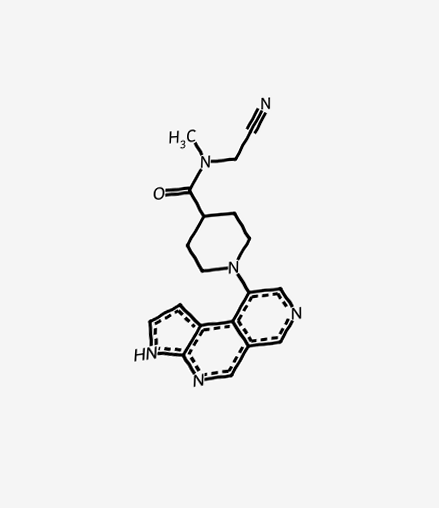 CN(CC#N)C(=O)C1CCN(c2cncc3cnc4[nH]ccc4c23)CC1